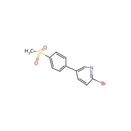 CS(=O)(=O)c1ccc(-c2ccc(Br)nc2)cc1